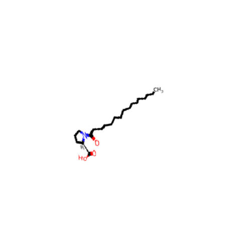 CCCCCCCCCCCCCCCC(=O)N1CCC[C@@H]1C(=O)O